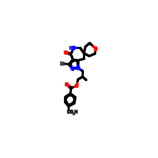 CCc1nn(CC(C)COC(=O)c2ccc(C(=O)O)cc2)c2c1C(=O)NCC1(CCOCC1)C2